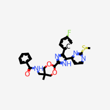 CSc1nccc(-c2[nH]c(C3OCC(C)(CNC(=O)c4ccccc4)CO3)nc2-c2ccc(F)cc2)n1